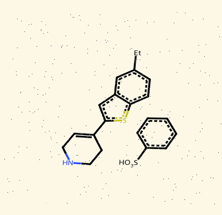 CCc1ccc2sc(C3=CCNCC3)cc2c1.O=S(=O)(O)c1ccccc1